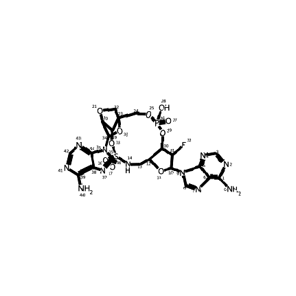 Nc1ncnc2c1ncn2C1OC2CNS(=O)(=O)OC3C4OCC3(COP(=O)(O)OC2C1F)OC4n1cnc2c(N)ncnc21